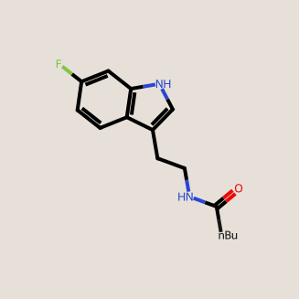 CCCCC(=O)NCCc1c[nH]c2cc(F)ccc12